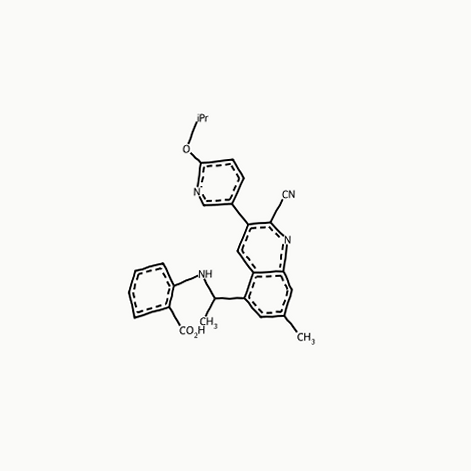 Cc1cc(C(C)Nc2ccccc2C(=O)O)c2cc(-c3ccc(OC(C)C)nc3)c(C#N)nc2c1